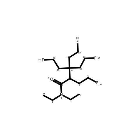 CCN(CC)C(=O)C(CCF)C(CCF)(CCF)CCF